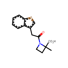 CC1(C(=O)O)CCN1C(=O)Cc1csc2ccccc12